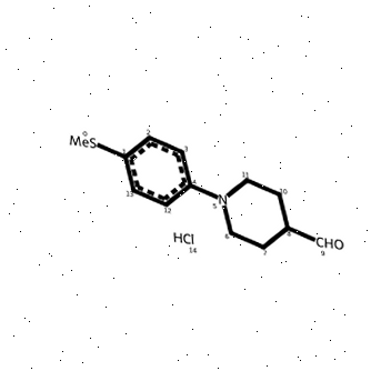 CSc1ccc(N2CCC(C=O)CC2)cc1.Cl